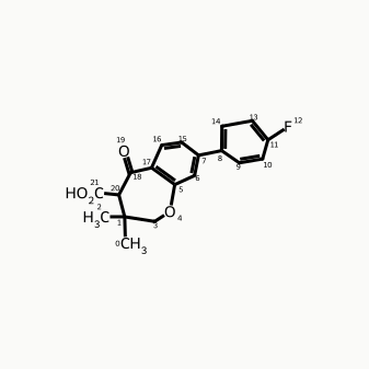 CC1(C)COc2cc(-c3ccc(F)cc3)ccc2C(=O)C1C(=O)O